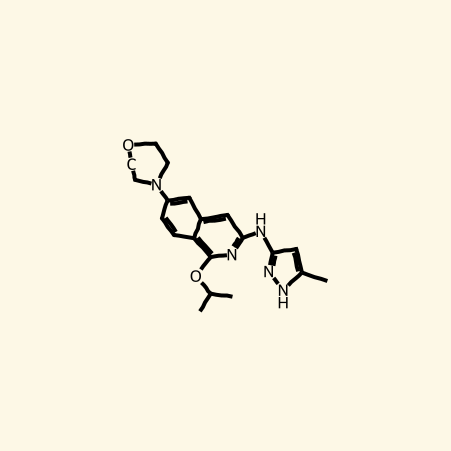 Cc1cc(Nc2cc3cc(N4CCOCC4)ccc3c(OC(C)C)n2)n[nH]1